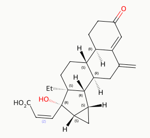 C=C1C[C@@H]2[C@H](CC[C@@]3(CC)[C@H]2[C@@H]2C[C@@H]2[C@@]3(O)/C=C\C(=O)O)[C@H]2CCC(=O)C=C12